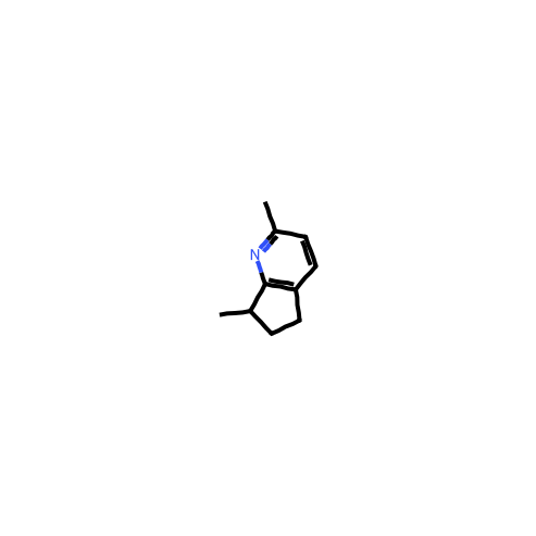 Cc1ccc2c(n1)C(C)CC2